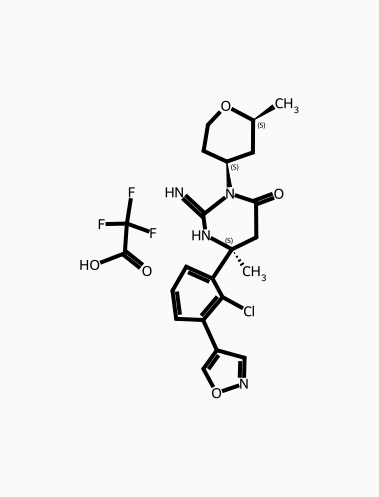 C[C@H]1C[C@@H](N2C(=N)N[C@](C)(c3cccc(-c4cnoc4)c3Cl)CC2=O)CCO1.O=C(O)C(F)(F)F